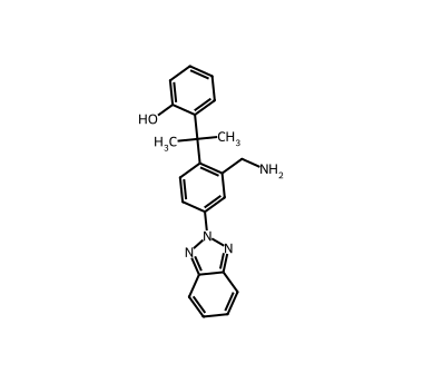 CC(C)(c1ccccc1O)c1ccc(-n2nc3ccccc3n2)cc1CN